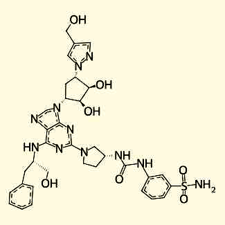 NS(=O)(=O)c1cccc(NC(=O)N[C@@H]2CCN(c3nc(N[C@H](CO)Cc4ccccc4)c4ncn([C@@H]5C[C@H](n6cc(CO)cn6)[C@@H](O)[C@H]5O)c4n3)C2)c1